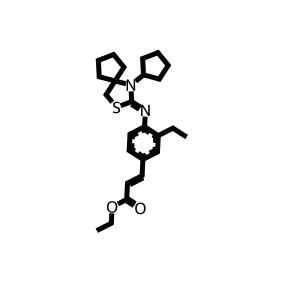 CCOC(=O)C=Cc1ccc(N=C2SCC3(CCCC3)N2C2CCCC2)c(CC)c1